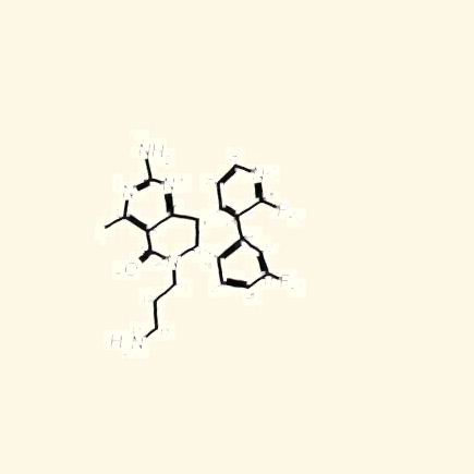 Cc1nc(N)nc2c1C(=O)N(CCCN)[C@@H](c1ccc(F)cc1-c1cccnc1F)C2